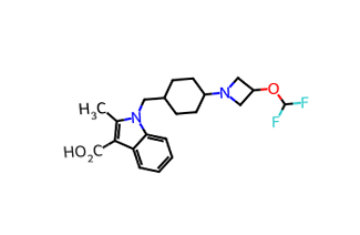 Cc1c(C(=O)O)c2ccccc2n1CC1CCC(N2CC(OC(F)F)C2)CC1